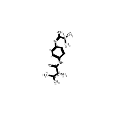 CC(=Nc1ccc(NC(=O)[C@H](N)C(C)C)cc1)N(C)C